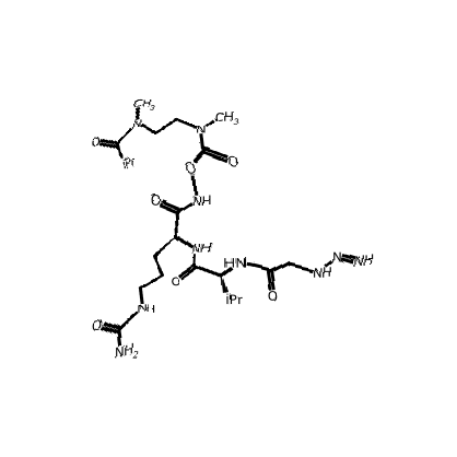 CC(C)C(=O)N(C)CCN(C)C(=O)ONC(=O)[C@H](CCCNC(N)=O)NC(=O)[C@@H](NC(=O)CNN=N)C(C)C